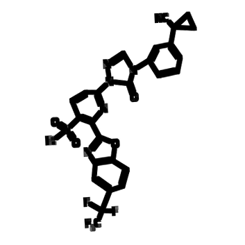 CCS(=O)(=O)c1ccc(-n2ncn(-c3cccc(C4(C#N)CC4)c3)c2=O)nc1-c1nc2cc(C(F)(F)C(F)(F)F)ccc2o1